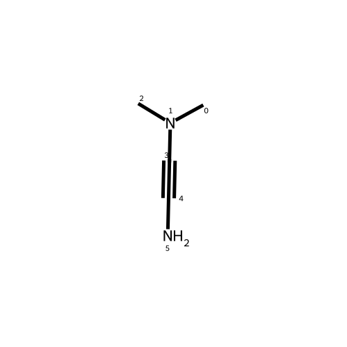 CN(C)C#CN